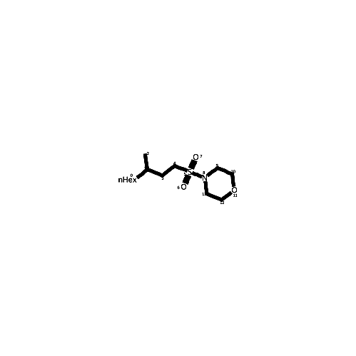 CCCCCCC(C)CCS(=O)(=O)N1CCOCC1